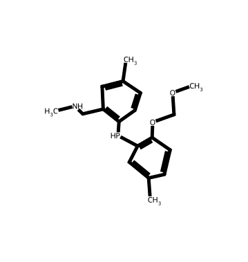 CNCc1cc(C)ccc1Pc1cc(C)ccc1OCOC